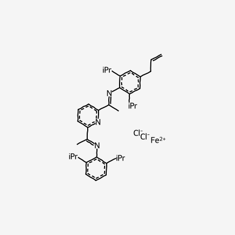 C=CCc1cc(C(C)C)c(N=C(C)c2cccc(C(C)=Nc3c(C(C)C)cccc3C(C)C)n2)c(C(C)C)c1.[Cl-].[Cl-].[Fe+2]